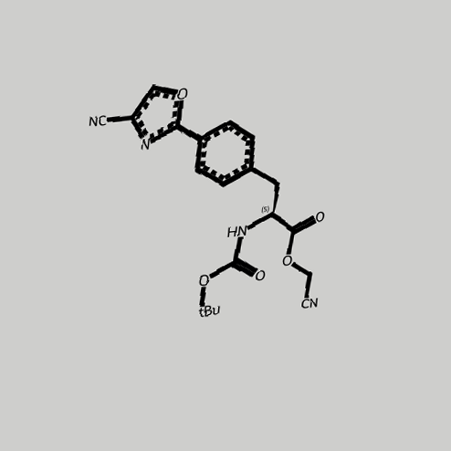 CC(C)(C)OC(=O)N[C@@H](Cc1ccc(-c2nc(C#N)co2)cc1)C(=O)OCC#N